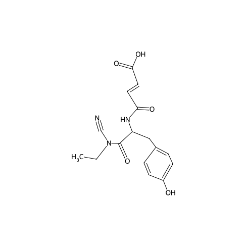 CCN(C#N)C(=O)C(Cc1ccc(O)cc1)NC(=O)C=CC(=O)O